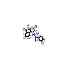 CN(C(=O)Nc1ccc(F)c(Cl)c1)C1C[S@+]([O-])Cc2[nH]c(=O)c3cc(F)ccc3c21